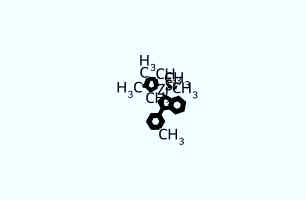 CC1=C(C)C(C)[C]([Zr]([CH]2C=C(c3cccc(C)c3)c3ccccc32)=[Si](C)C)=C1C